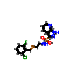 O=S(=O)(NCCSCc1c(F)cccc1Cl)c1n[nH]c2ncccc12